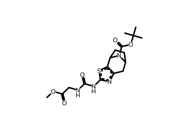 COC(=O)CNC(=O)Nc1nc2c(s1)C1CCC(C2)N1C(=O)OC(C)(C)C